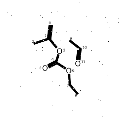 C=C(C)OC(=O)OCC.CC=O